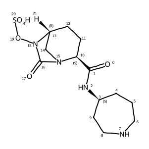 O=C(N[C@H]1CCCNCC1)[C@@H]1CC[C@@H]2CN1C(=O)N2OS(=O)(=O)O